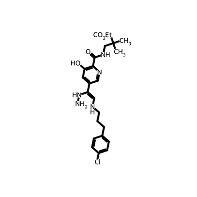 CCOC(=O)C(C)(C)CNC(=O)c1ncc(/C(=C/NCCCc2ccc(Cl)cc2)NN)cc1O